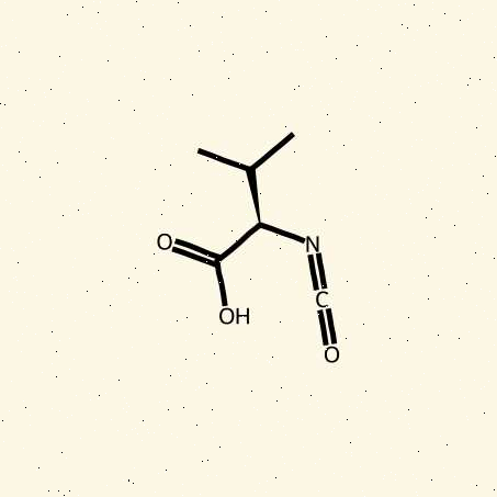 CC(C)[C@@H](N=C=O)C(=O)O